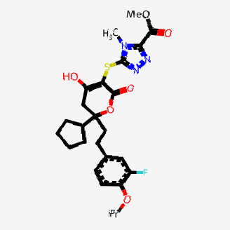 COC(=O)c1nnc(SC2=C(O)CC(CCc3ccc(OC(C)C)c(F)c3)(C3CCCC3)OC2=O)n1C